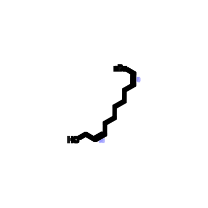 CCCC/C=C\CCCCC/C=C\CO